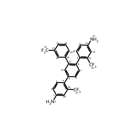 Nc1ccc(-c2ccc(-c3ccc(N)cc3C(F)(F)F)c(-c3cccc(C(F)(F)F)c3)c2)c(C(F)(F)F)c1